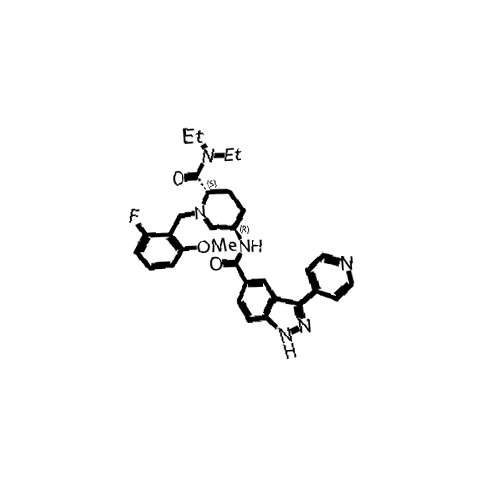 CCN(CC)C(=O)[C@@H]1CC[C@@H](NC(=O)c2ccc3[nH]nc(-c4ccncc4)c3c2)CN1Cc1c(F)cccc1OC